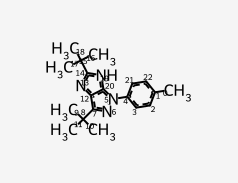 Cc1ccc(-n2nc(C(C)(C)C)c3nc(C(C)(C)C)[nH]c32)cc1